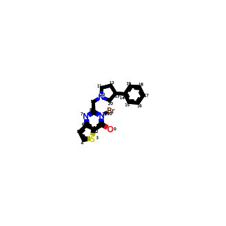 O=c1c2sccc2nc(CN2CCC(c3ccccc3)C2)n1Br